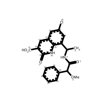 COC(C(=O)NC(C)c1cc(Cl)cc2cc(C(=O)O)c(=O)[nH]c12)c1ccccc1